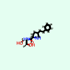 C[C@H](O)[C@H](CO)NC(=O)C1CCC(CCc2ccccc2)CN1